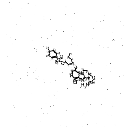 CCCC(CCOS(=O)(=O)c1ccc(C)cc1)Oc1cnc(Cl)c2nc(-c3nonc3N)n(CC)c12